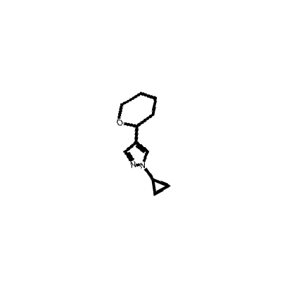 c1nn(C2CC2)cc1C1CCCCO1